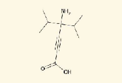 CC(C)C(N)(C#CC(=O)O)C(C)C